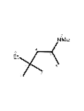 CCC(C)(C)CC(C)NC